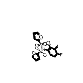 O=S(=O)(c1ccco1)N(c1ccc(F)c(I)c1Cl)S(=O)(=O)c1ccco1